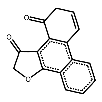 O=C1CC=Cc2c1c1c(c3ccccc23)OCC1=O